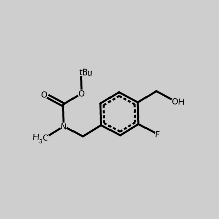 CN(Cc1ccc(CO)c(F)c1)C(=O)OC(C)(C)C